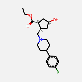 CCOC(=O)[C@@H]1C[C@@H](O)C[C@H]1CN1CCC(c2ccc(F)cc2)CC1